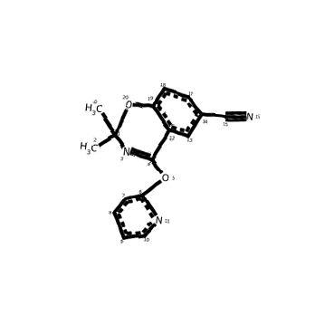 CC1(C)N=C(Oc2ccccn2)c2cc(C#N)ccc2O1